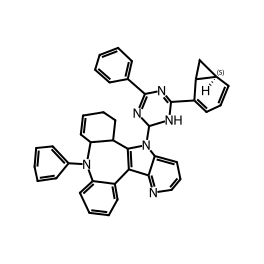 C1=C[C@@H]2CC2C(C2=NC(c3ccccc3)=NC(n3c4c(c5ncccc53)-c3ccccc3N(c3ccccc3)C3C=CCCC43)N2)=C1